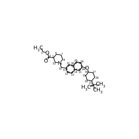 CCOC(=O)C1CCCN(Cc2ccc3cc(OC4CCC(C(C)(C)C)CC4)ccc3c2)C1